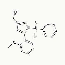 CSc1ccccc1-c1cc(C=O)cn1S(=O)(=O)c1cccnc1